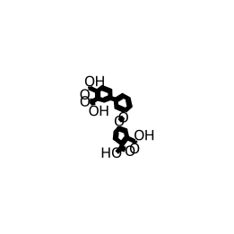 O=C(O)c1ccc(OOc2cccc(-c3ccc(C(=O)O)c(C(=O)O)c3)c2)cc1C(=O)O